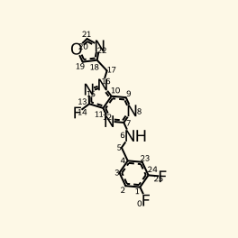 Fc1ccc(CNc2ncc3c(n2)c(F)nn3Cc2cocn2)cc1F